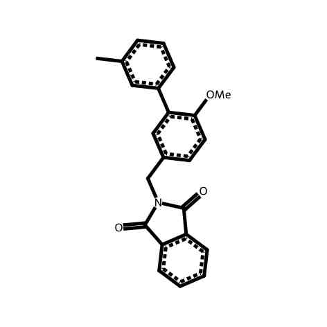 COc1ccc(CN2C(=O)c3ccccc3C2=O)cc1-c1cccc(C)c1